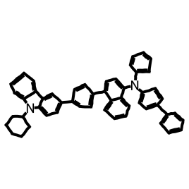 c1ccc(-c2ccc(N(c3ccccc3)c3ccc(-c4ccc(-c5ccc6c(c5)c5ccccc5n6C5CCCCC5)cc4)c4ccccc34)cc2)cc1